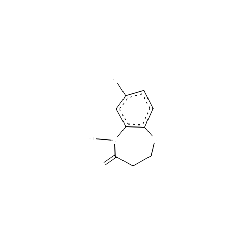 CCN1C(=O)CCSc2ccc(C(F)(F)F)cc21